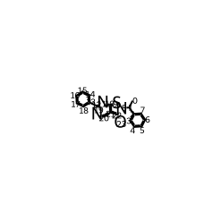 CC(c1ccccc1)n1sc2nc(-c3ccccc3)ncc2c1=O